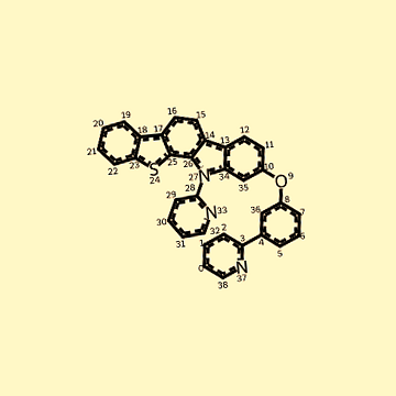 c1ccc(-c2cccc(Oc3ccc4c5ccc6c7ccccc7sc6c5n(-c5ccccn5)c4c3)c2)nc1